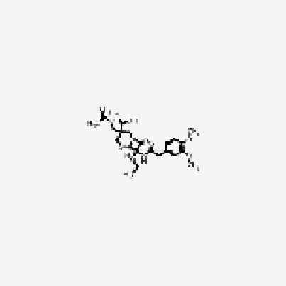 CCOC1(NC(=O)Cc2ccc(OC)c(OC)c2)C(=O)N2CC(COC(C)C)(C(=O)O)CS[C@@H]21